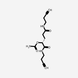 C#CCCNC(=O)CC[C@@H](OC(N)=O)C(=O)NCCC#C